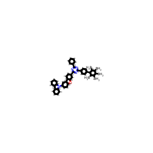 Bc1c(B)c(B)c(-c2ccc(-c3nc(-c4ccccc4)nc(-c4ccc5c(c4)oc4ccc(-n6c7ccccc7c7ccccc76)cc45)n3)cc2)c(B)c1B